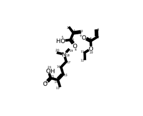 C=C(C)C(=O)O.C=CC(=O)OCC.CC(=CCCN(C)C)C(=O)O